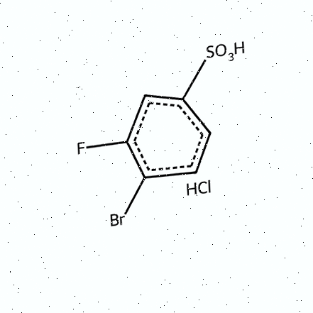 Cl.O=S(=O)(O)c1ccc(Br)c(F)c1